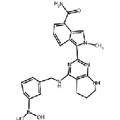 Cn1cc2c(C(N)=O)cccc2c1-c1nc2c(c(NCc3cccc(B(O)O)c3)n1)CCCN2